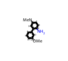 CNc1ccc(N)c(-c2cccc(OC)c2)c1